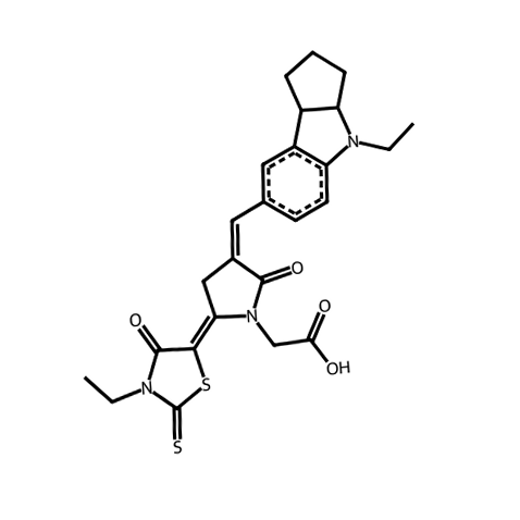 CCN1C(=O)/C(=C2\C/C(=C/c3ccc4c(c3)C3CCCC3N4CC)C(=O)N2CC(=O)O)SC1=S